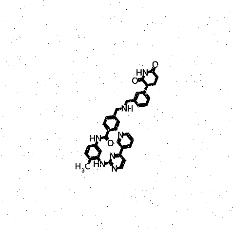 Cc1ccc(NC(=O)c2ccc(CNCc3cccc(C4CCC(=O)NC4=O)c3)cc2)cc1Nc1nccc(-c2cccnc2)n1